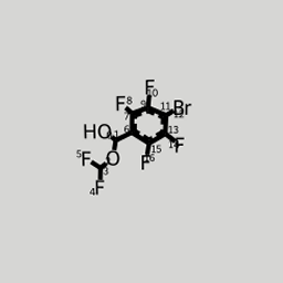 OC(OC(F)F)c1c(F)c(F)c(Br)c(F)c1F